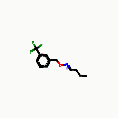 CCC/[C]=N/OCc1cccc(C(F)(F)F)c1